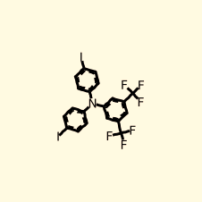 FC(F)(F)c1cc(N(c2ccc(I)cc2)c2ccc(I)cc2)cc(C(F)(F)F)c1